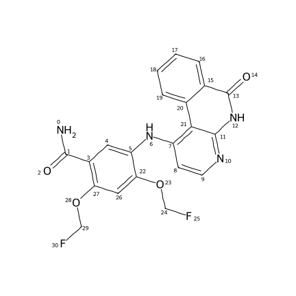 NC(=O)c1cc(Nc2ccnc3[nH]c(=O)c4ccccc4c23)c(OCF)cc1OCF